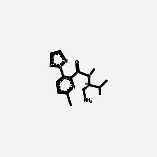 Cc1ccc(-n2nccn2)c(C(=O)N(C)[C@H](CN)C(C)C)n1